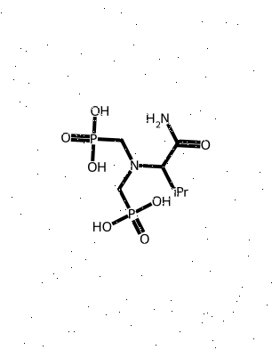 CC(C)C(C(N)=O)N(CP(=O)(O)O)CP(=O)(O)O